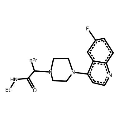 CCCC(C(=O)NCC)N1CCN(c2ccnc3ccc(F)cc23)CC1